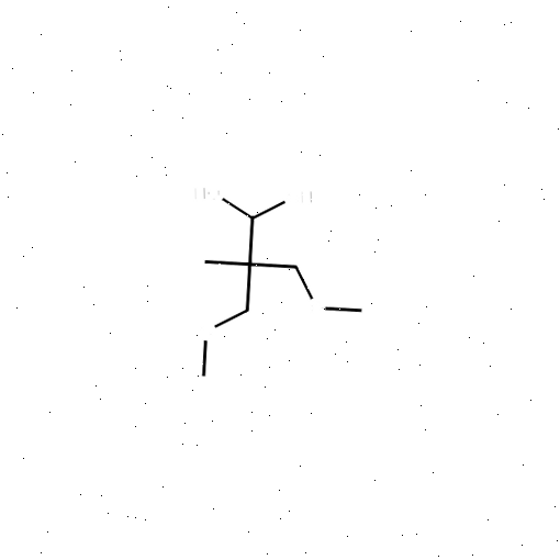 COCC(C)(COC)C(O)O